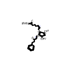 CNC(=O)CCC/C=C\C[C@@H]1[C@@H](/C=C/C(=O)CCc2ccccc2)[C@H](O)C[C@@H]1O